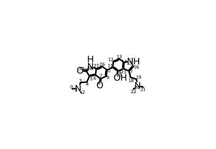 CN(C)CCC1=C2C(=O)C=C(c3ccc4[nH]cc(CCN(C)C)c4c3O)C=C2NC1=O